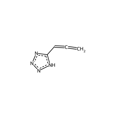 C=C=Cc1nnn[nH]1